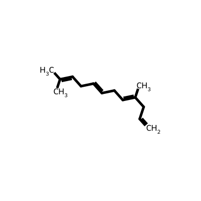 C=CCC(C)=CCC=CCC=C(C)C